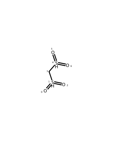 O=[SH](=O)[CH][SH](=O)=O